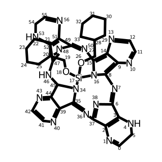 C1=NC2=C(NC1)/C1=N/c3c4nccnc4c4n3[Si](OCC3CCCCC3)(OCC3CCCCC3)N3/C(=N\C2=N1)c1nccnc1C3NC1=N/C(=N\4)C2=C1NCC=N2